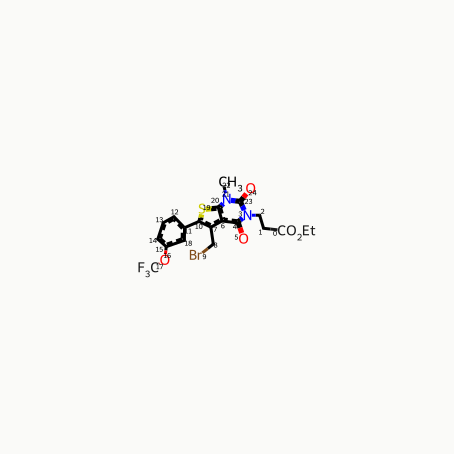 CCOC(=O)CCn1c(=O)c2c(CBr)c(-c3cccc(OC(F)(F)F)c3)sc2n(C)c1=O